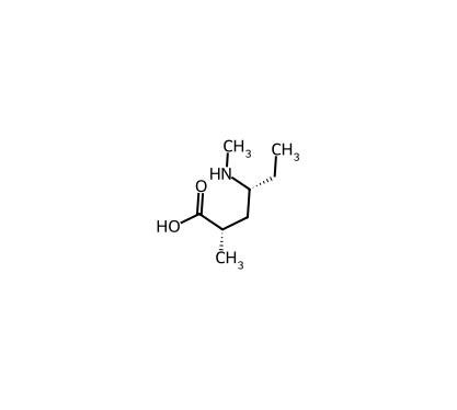 CC[C@H](C[C@H](C)C(=O)O)NC